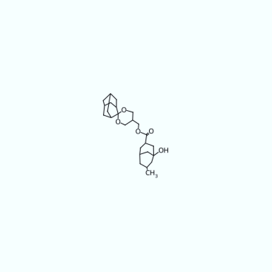 CC1CC2CC(C(=O)OCC3COC4(OC3)C3CC5CC(C3)CC4C5)CC(O)(C1)C2